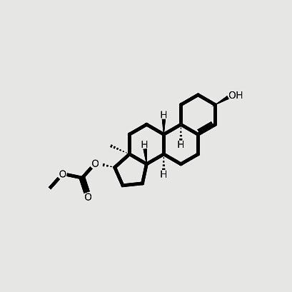 COC(=O)O[C@H]1CC[C@H]2[C@@H]3CCC4=C[C@H](O)CC[C@@H]4[C@H]3CC[C@]12C